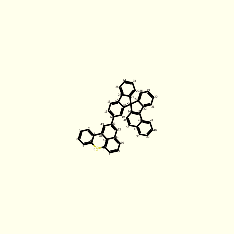 c1ccc2c(c1)Sc1cccc3cc(-c4ccc5c(c4)C4(c6ccccc6-5)c5ccccc5-c5c4ccc4ccccc54)cc-2c13